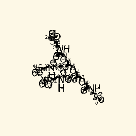 CS(=O)(=O)SCCNC(=O)COCC(COCC(COCC(=O)NCCSS(C)(=O)=O)OCOC(=O)NCCSS(C)(=O)=O)OCOC(=O)NCCSS(C)(=O)=O